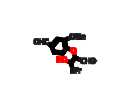 CCCC(O)C([C]=O)Oc1ccc(C=O)cc1OC